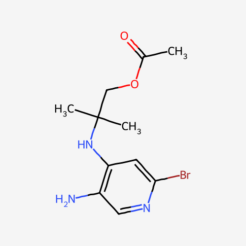 CC(=O)OCC(C)(C)Nc1cc(Br)ncc1N